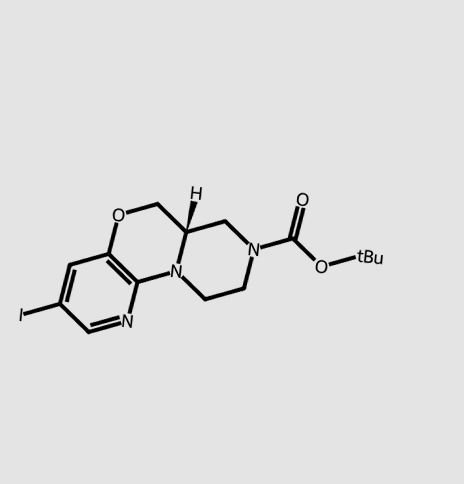 CC(C)(C)OC(=O)N1CCN2c3ncc(I)cc3OC[C@@H]2C1